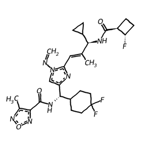 C=Nn1cc([C@@H](NC(=O)c2nonc2C)C2CCC(F)(F)CC2)nc1/C=C(\C)[C@H](NC(=O)[C@H]1CC[C@@H]1F)C1CC1